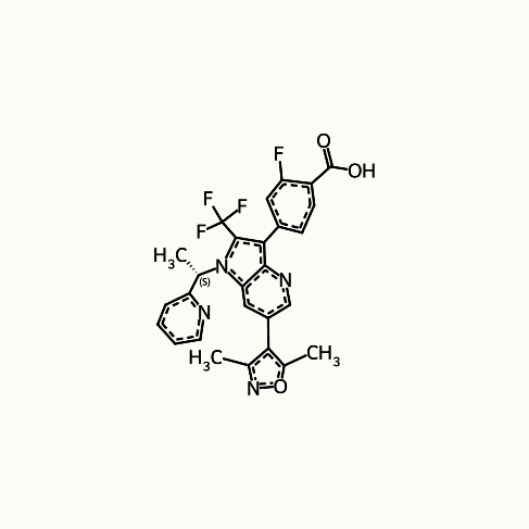 Cc1noc(C)c1-c1cnc2c(-c3ccc(C(=O)O)c(F)c3)c(C(F)(F)F)n([C@@H](C)c3ccccn3)c2c1